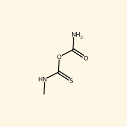 CNC(=S)OC(N)=O